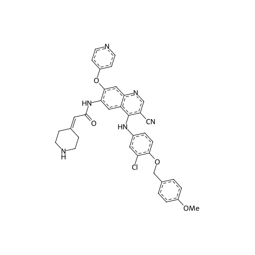 COc1ccc(COc2ccc(Nc3c(C#N)cnc4cc(Oc5ccncc5)c(NC(=O)C=C5CCNCC5)cc34)cc2Cl)cc1